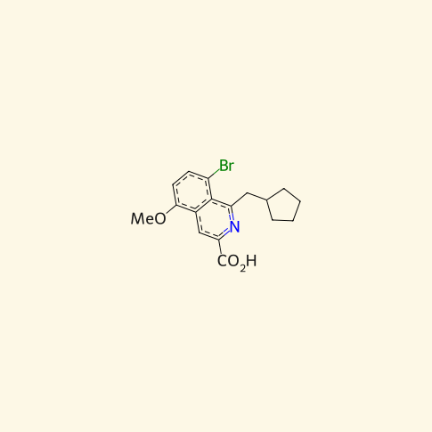 COc1ccc(Br)c2c(CC3CCCC3)nc(C(=O)O)cc12